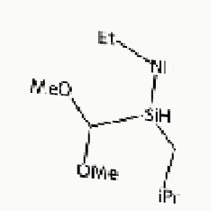 CCN[SiH](CC(C)C)C(OC)OC